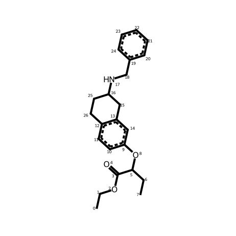 CCOC(=O)C(CC)Oc1ccc2c(c1)CC(NCc1ccccc1)CC2